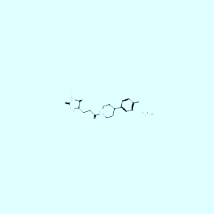 COc1cc(C2CCN(C(=O)CCC3NC(=O)NC3=O)CC2)ccc1F